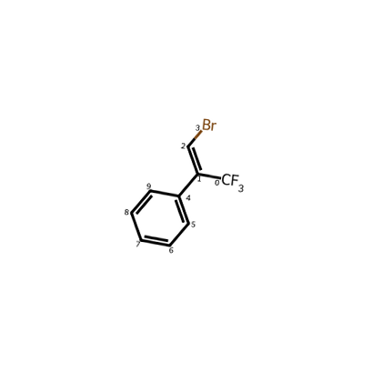 FC(F)(F)C(=CBr)c1ccccc1